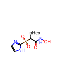 CCCCCCC(C(=O)NO)S(=O)(=O)c1ncc[nH]1